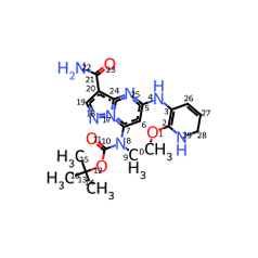 COC1=C(Nc2cc(N(C)C(=O)OC(C)(C)C)n3ncc(C(N)=O)c3n2)C=CCN1